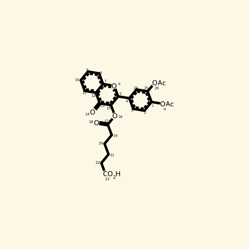 CC(=O)Oc1ccc(-c2oc3ccccc3c(=O)c2OC(=O)CCCCC(=O)O)cc1OC(C)=O